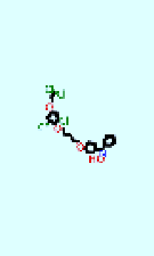 ON=C(c1ccccc1)c1ccc(OCCCCCOc2c(Cl)cc(OCC=C(Cl)Cl)cc2Cl)cc1